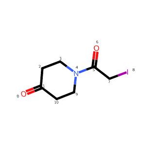 O=C1CCN(C(=O)CI)CC1